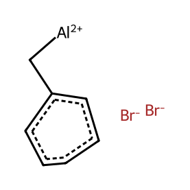 [Al+2][CH2]c1ccccc1.[Br-].[Br-]